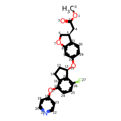 COC(=O)C[C@@H]1COc2cc(O[C@@H]3CCc4c(Oc5ccncc5)ccc(F)c43)ccc21